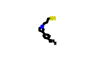 Bc1ccc(C2CCN(CCCS)C2)cc1